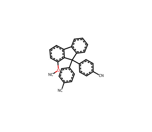 N#COc1cccc2c1C(c1ccc(C#N)cc1)(c1ccc(C#N)cc1)c1ccccc1-2